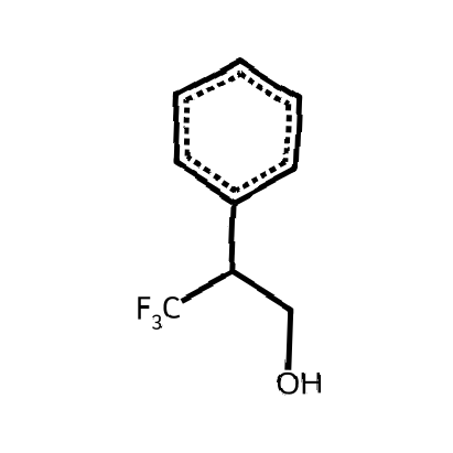 OCC(c1ccccc1)C(F)(F)F